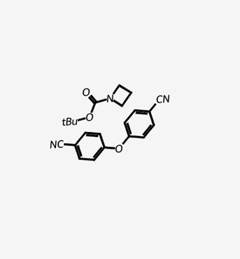 CC(C)(C)OC(=O)N1CCC1.N#Cc1ccc(Oc2ccc(C#N)cc2)cc1